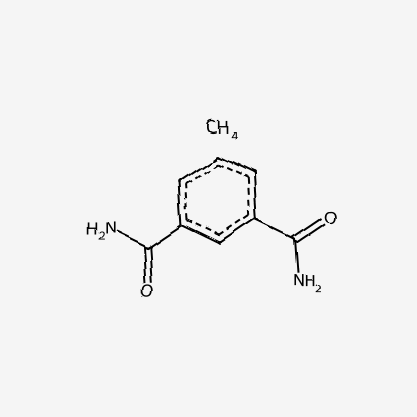 C.NC(=O)c1cccc(C(N)=O)c1